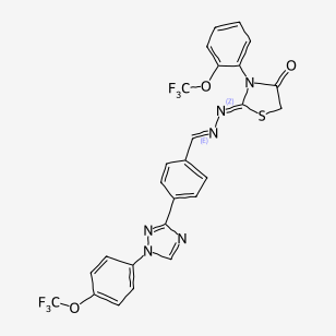 O=C1CS/C(=N\N=C\c2ccc(-c3ncn(-c4ccc(OC(F)(F)F)cc4)n3)cc2)N1c1ccccc1OC(F)(F)F